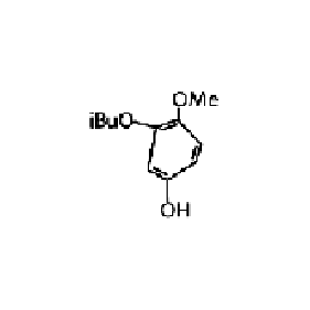 COc1ccc(O)cc1OCC(C)C